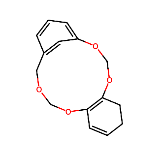 C1=CC2=C(CC1)OCOc1cccc(c1)COCO2